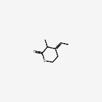 C/C=C1\CCOC(=O)C1C